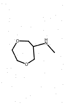 CNC1COCCOC1